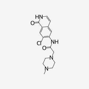 CN1CCN(CC(=O)Nc2cc3cc[nH]c(=O)c3cc2Cl)CC1